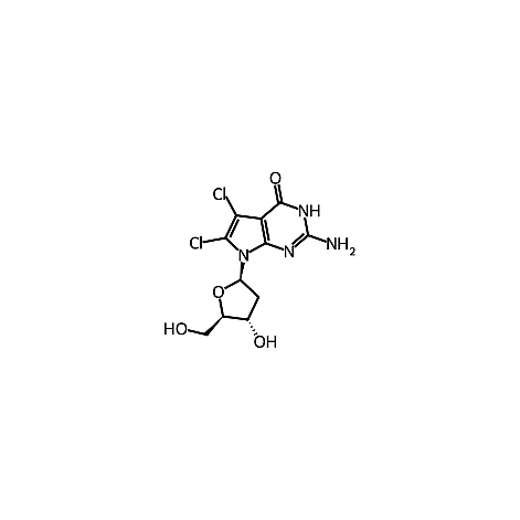 Nc1nc2c(c(Cl)c(Cl)n2[C@H]2C[C@H](O)[C@@H](CO)O2)c(=O)[nH]1